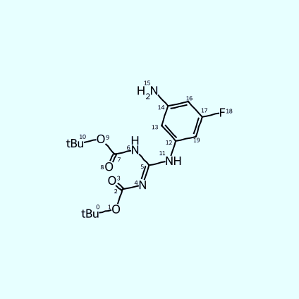 CC(C)(C)OC(=O)/N=C(\NC(=O)OC(C)(C)C)Nc1cc(N)cc(F)c1